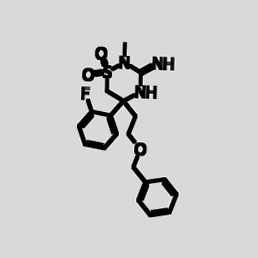 CN1C(=N)NC(CCOCc2ccccc2)(c2ccccc2F)CS1(=O)=O